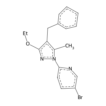 CCOc1nn(-c2ccc(Br)cn2)c(C)c1Cc1ccccc1